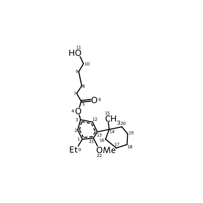 CCc1cc(OC(=O)CCCCO)cc(C2(C)CCCCC2)c1OC